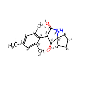 Cc1cc(C)c(C2C(=O)NC3(CCCC3)C2=O)c(C)c1